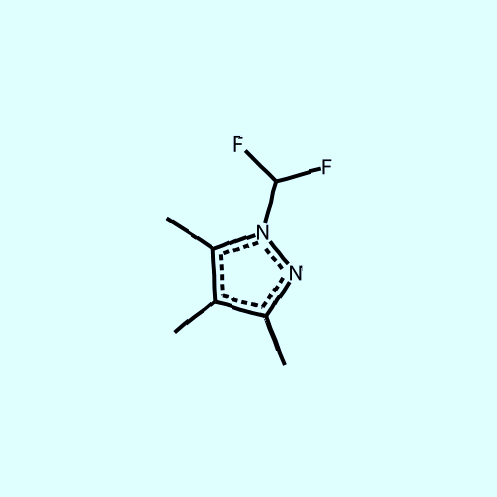 Cc1nn(C(F)F)c(C)c1C